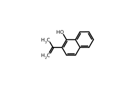 C=C(C)c1ccc2ccccc2c1O